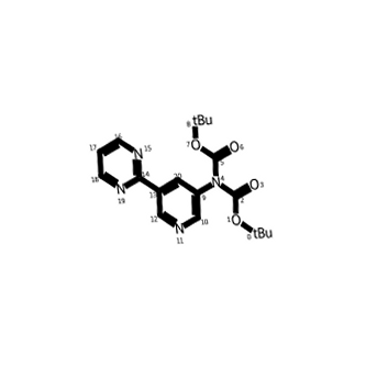 CC(C)(C)OC(=O)N(C(=O)OC(C)(C)C)c1cncc(-c2ncccn2)c1